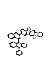 c1ccc(-c2c3ccccc3c(-c3cc(-c4ccc5oc6cc7c(cc6c5c4)oc4ccccc47)cc4ccccc34)c3ccccc23)cc1